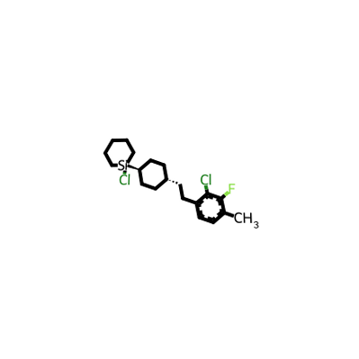 Cc1ccc(CC[C@H]2CC[C@H]([Si]3(Cl)CCCCC3)CC2)c(Cl)c1F